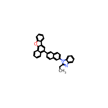 CCc1nc2ccccc2n1-c1ccc2cc(-c3cc4c5ccccc5oc4c4ccccc34)ccc2c1